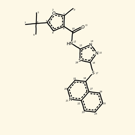 Cc1oc(C(C)(C)C)cc1C(=O)Nc1nnc(Sc2ccnc3ccccc23)s1